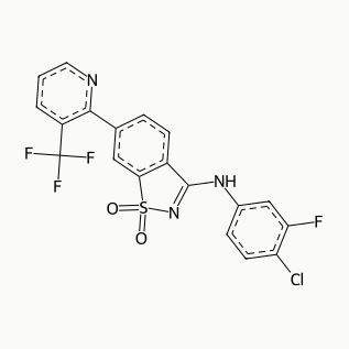 O=S1(=O)N=C(Nc2ccc(Cl)c(F)c2)c2ccc(-c3ncccc3C(F)(F)F)cc21